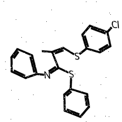 CC(=CSc1ccc(Cl)cc1)/C(=N\c1ccccc1)Sc1ccccc1